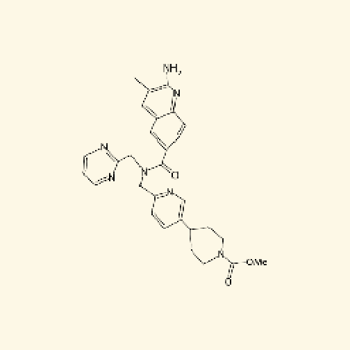 COC(=O)N1CCC(c2ccc(CN(Cc3ncccn3)C(=O)c3ccc4nc(N)c(C)cc4c3)nc2)CC1